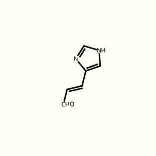 O=CC=Cc1c[nH]cn1